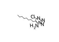 CCCCCCCCc1c(Cl)nc2ncnn2c1N